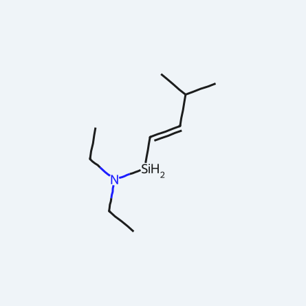 CCN(CC)[SiH2]C=CC(C)C